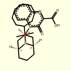 CC(C)(C1CCCCCCC1)N1[C@@H]2CCC[C@H]1C[C@@](C)(n1c(=O)c(C(=O)O)nc3ccccc31)C2